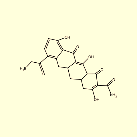 BCC(=O)c1ccc(O)c2c1CC1CC3CC(O)=C(C(N)=O)C(=O)C3C(O)=C1C2=O